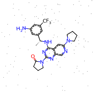 C[C@@H](Nc1nc(N2CCCC2=O)nc2cnc(N3CCCC3)cc12)c1cc(N)cc(C(F)(F)F)c1